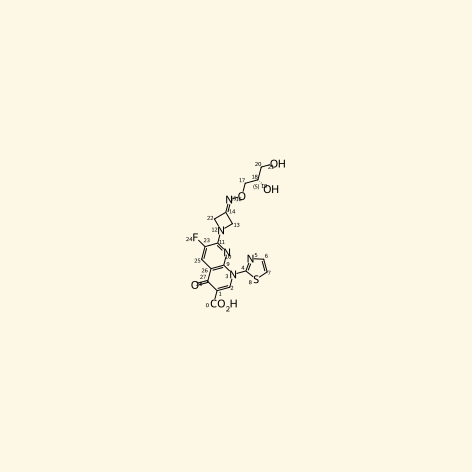 O=C(O)c1cn(-c2nccs2)c2nc(N3CC(=NOC[C@@H](O)CO)C3)c(F)cc2c1=O